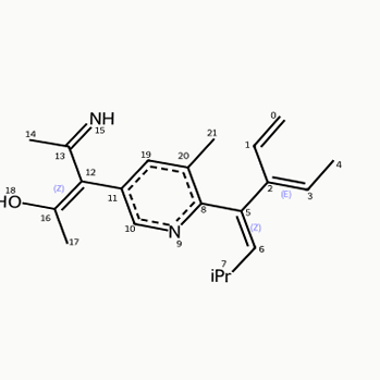 C=CC(=C\C)/C(=C/C(C)C)c1ncc(/C(C(C)=N)=C(\C)O)cc1C